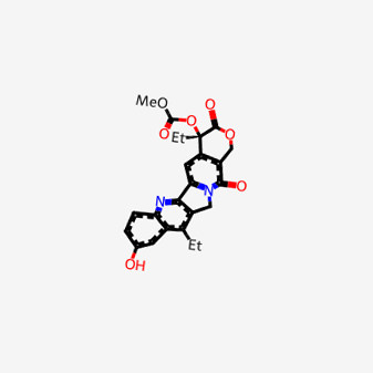 CCc1c2c(nc3ccc(O)cc13)-c1cc3c(c(=O)n1C2)COC(=O)[C@@]3(CC)OC(=O)OC